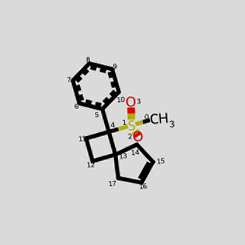 CS(=O)(=O)C1(c2ccccc2)CCC12CC=CC2